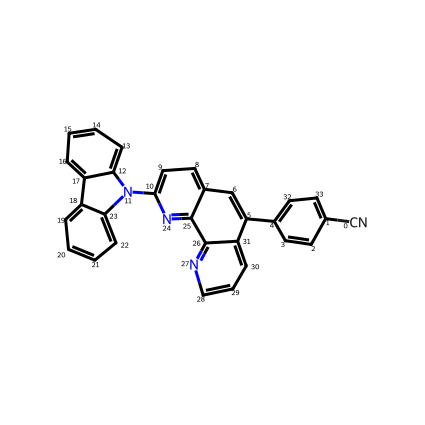 N#Cc1ccc(-c2cc3ccc(-n4c5ccccc5c5ccccc54)nc3c3ncccc23)cc1